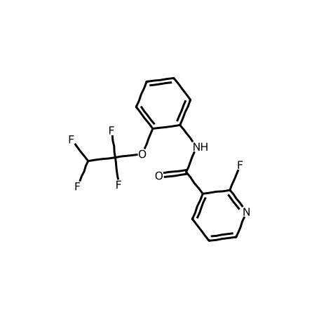 O=C(Nc1ccccc1OC(F)(F)C(F)F)c1cccnc1F